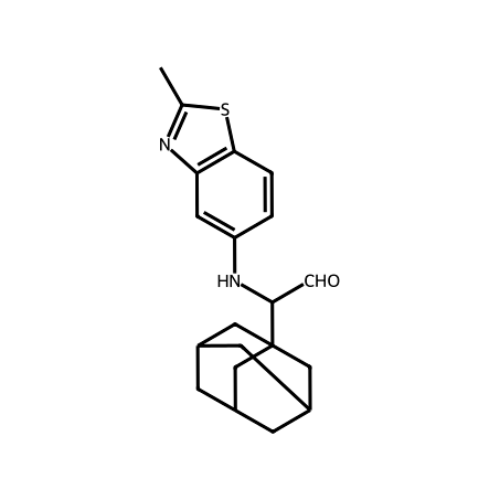 Cc1nc2cc(NC(C=O)C34CC5CC(CC(C5)C3)C4)ccc2s1